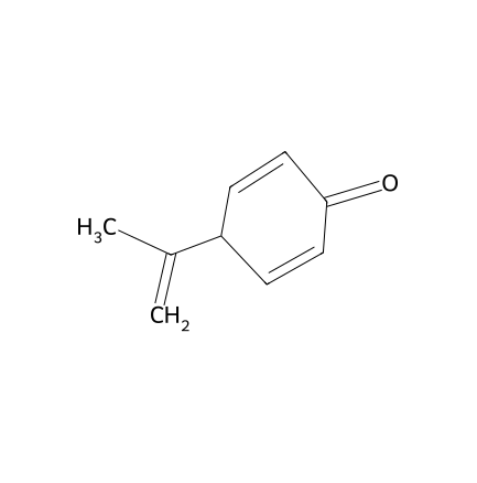 C=C(C)C1C=CC(=O)C=C1